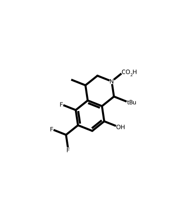 CC1CN(C(=O)O)C(C(C)(C)C)c2c(O)cc(C(F)F)c(F)c21